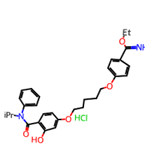 CCOC(=N)c1ccc(OCCCCCOc2ccc(C(=O)N(c3ccccc3)C(C)C)c(O)c2)cc1.Cl